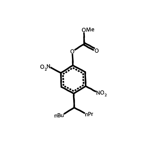 CCCCC(CCC)c1cc([N+](=O)[O-])c(OC(=O)OC)cc1[N+](=O)[O-]